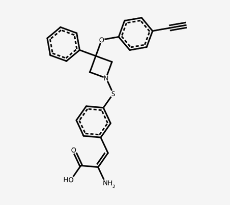 C#Cc1ccc(OC2(c3ccccc3)CN(Sc3cccc(/C=C(/N)C(=O)O)c3)C2)cc1